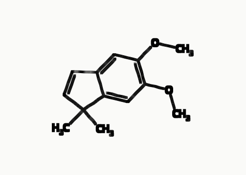 COc1cc2c(cc1OC)C(C)(C)C=C2